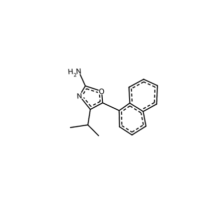 CC(C)c1nc(N)oc1-c1cccc2ccccc12